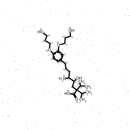 CC(C)C(CC(O)C(N)CCCc1ccc(OCCCO)c(OCCCO)c1)(C(=O)O)C(C)C